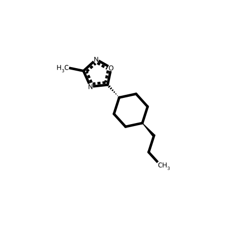 CCC[C@H]1CC[C@H](c2nc(C)no2)CC1